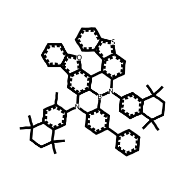 Cc1cc2c(cc1N1c3ccc(-c4ccccc4)cc3B3c4c1cc1c(oc5ccccc51)c4-c1c(ccc4sc5ccccc5c14)N3c1ccc3c(c1)C(C)(C)CCC3(C)C)C(C)(C)CCC2(C)C